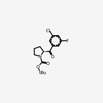 CC(C)(C)OC(=O)N1CCC[C@H]1C(=O)c1cc(F)cc(Cl)c1